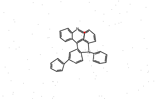 c1ccc(-c2ccc(N(c3ccccc3)c3ccccc3)c(-c3ccnc4ccccc34)c2)cc1